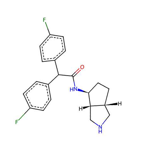 O=C(N[C@H]1CC[C@@H]2CNC[C@@H]21)C(c1ccc(F)cc1)c1ccc(F)cc1